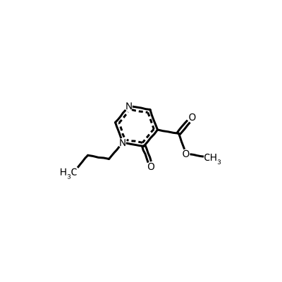 CCCn1cncc(C(=O)OC)c1=O